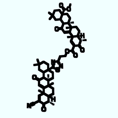 COC(=O)[C@]12CCC(C)(C)CC1C1C(=O)C=C3[C@@]4(C)C=C(C(=O)OCCc5noc([C@]67CCC(C)(C)CC6C6C(=O)C=C8[C@@]9(C)C=C(C#N)C(=O)[C@@H](C)[C@@H]9CC[C@@]8(C)[C@]6(C)CC7)n5)C(=O)[C@@H](C)[C@@H]4CC[C@@]3(C)[C@]1(C)CC2